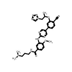 COc1ccc(C(=O)NCCCN(C)C)cc1Nc1ncc(-c2ccc(C#N)c(OC(C)Cn3cnnn3)c2)cn1